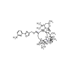 CCC(=O)/N=C1\[C@H](C)C[C@@]2(C)OC/C(=N/OCc3coc(-c4cccc(N)n4)n3)CC[C@H]([C@H]1C)[C@](C)(O)[C@@H](CC)OC(=O)[C@@](C)(F)C(=O)C(C)[C@H]2O[C@@H]1O[C@H](C)C[C@H](N(C)C)[C@H]1O